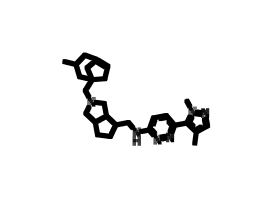 Cc1cnn(C)c1-c1ccc(NCC2CCC3CN(CC45CC=C(CC(C)C4)C5)CC23)nn1